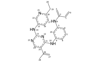 C=CC(=C)Nc1cccc(Nc2nc(Nc3ccc(CC)nc3)ncc2C(=C)C)c1